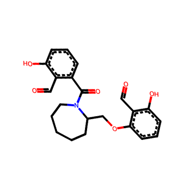 O=Cc1c(O)cccc1OCC1CCCCCN1C(=O)c1cccc(O)c1C=O